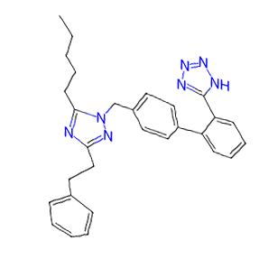 CCCCCc1nc(CCc2ccccc2)nn1Cc1ccc(-c2ccccc2-c2nnn[nH]2)cc1